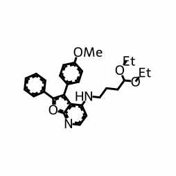 CCOC(CCCNc1ccnc2oc(-c3ccccc3)c(-c3ccc(OC)cc3)c12)OCC